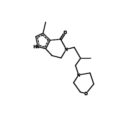 Cc1c[nH]c2c1C(=O)N(CC(C)CN1CCOCC1)CC2